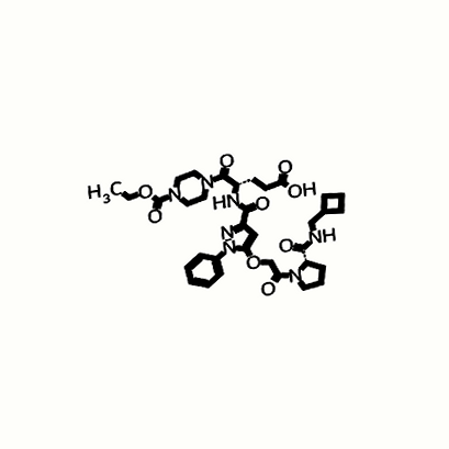 CCOC(=O)N1CCN(C(=O)[C@H](CCC(=O)O)NC(=O)c2cc(OCC(=O)N3CCC[C@H]3C(=O)NCC3CCC3)n(-c3ccccc3)n2)CC1